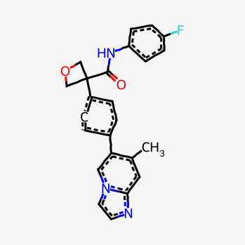 Cc1cc2nccn2cc1-c1ccc(C2(C(=O)Nc3ccc(F)cc3)COC2)cc1